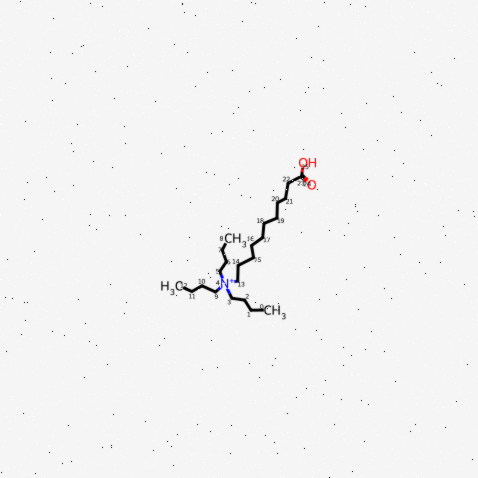 CCCC[N+](CCCC)(CCCC)CCCCCCCCCCC(=O)O